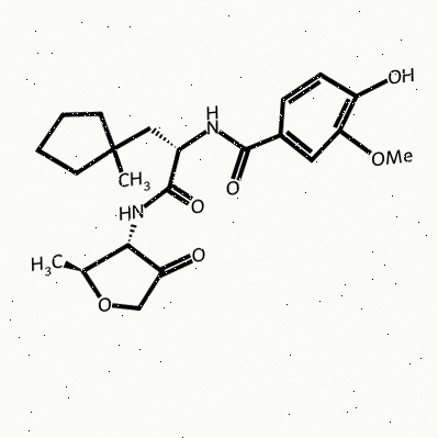 COc1cc(C(=O)N[C@@H](CC2(C)CCCC2)C(=O)N[C@@H]2C(=O)CO[C@H]2C)ccc1O